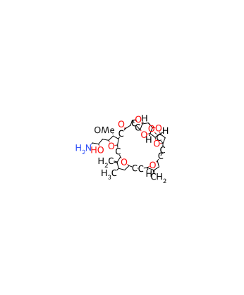 C=C1C2CC3OC(CC(O)CN)[C@H](OC)C3CC(=O)CC3CCC4O[C@@H]5C6O[C@@H]7C[C@@](CCC8CC(=C)[C@H](CCC(C[C@H]1C)O2)O8)(COC6[C@H]4O3)OC57